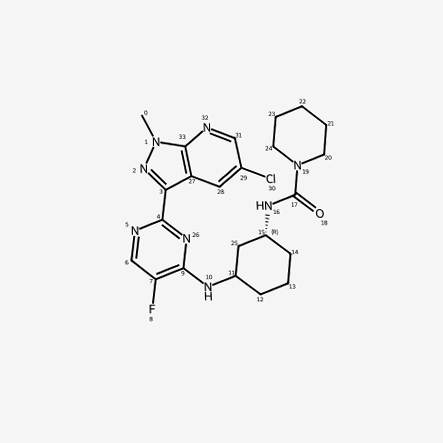 Cn1nc(-c2ncc(F)c(NC3CCC[C@@H](NC(=O)N4CCCCC4)C3)n2)c2cc(Cl)cnc21